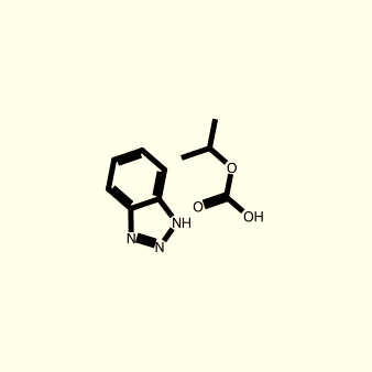 CC(C)OC(=O)O.c1ccc2[nH]nnc2c1